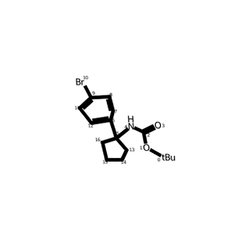 CC(C)(C)OC(=O)NC1(c2ccc(Br)cc2)CCCC1